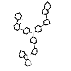 C1=Cc2c(n(-c3cccc(-c4ccc(N(c5ccc(-c6cccc(-c7ccc8ccccc8c7)c6)cc5)c5ccc(-c6cccc7c6sc6ccccc67)cc5)cc4)c3)c3ccccc23)CC1